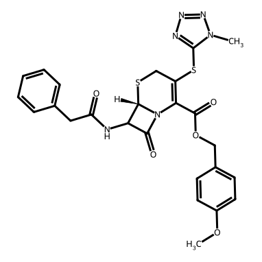 COc1ccc(COC(=O)C2=C(Sc3nnnn3C)CS[C@H]3C(NC(=O)Cc4ccccc4)C(=O)N23)cc1